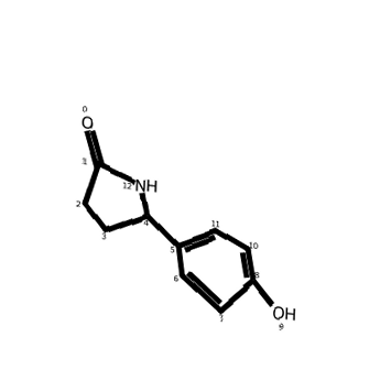 O=C1CCC(c2ccc(O)cc2)N1